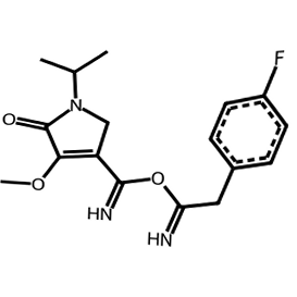 COC1=C(C(=N)OC(=N)Cc2ccc(F)cc2)CN(C(C)C)C1=O